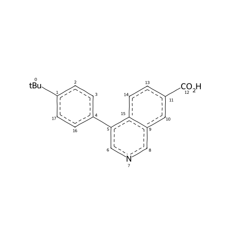 CC(C)(C)c1ccc(-c2cncc3cc(C(=O)O)ccc23)cc1